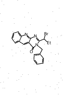 CCC(Br)c1nc2nc3ccccc3cc2c(=O)n1Cc1ccccc1